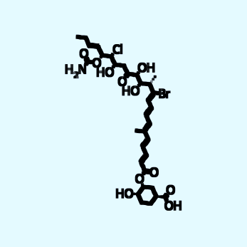 CC/C=C/[C@@H](OC(N)=O)[C@@H](Cl)[C@H](O)CC(=O)[C@@H](O)[C@H](O)[C@H](C)/C(Br)=C/C=C/C=C(C)/C=C/C=C/C(=O)O[C@@H]1C[C@@H](C(=O)O)CC[C@@H]1O